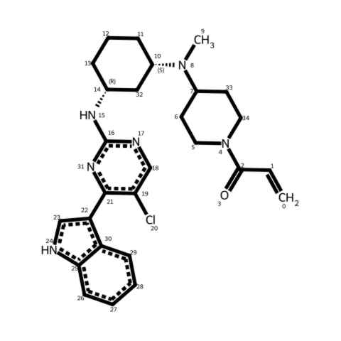 C=CC(=O)N1CCC(N(C)[C@H]2CCC[C@@H](Nc3ncc(Cl)c(-c4c[nH]c5ccccc45)n3)C2)CC1